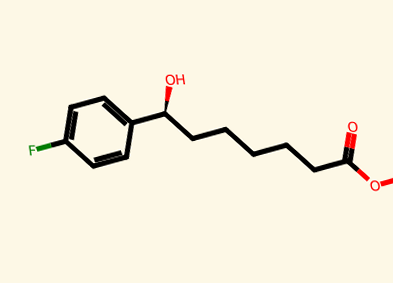 COC(=O)CCCCC[C@H](O)c1ccc(F)cc1